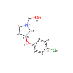 OCN1CC[C@H](Oc2ccc(Cl)cc2)C1